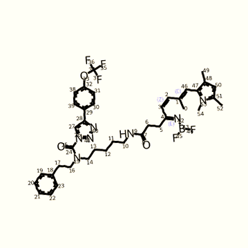 CC(/C=C\C(CCC(=O)NCCCCCN(CCc1ccccc1)C(=O)n1cc(-c2ccc(OC(F)(F)F)cc2)nn1)=N\B(F)F)=C\c1c(C)cc(C)n1C